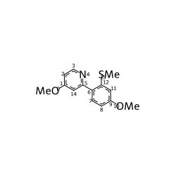 COc1ccnc(-c2ccc(OC)cc2SC)c1